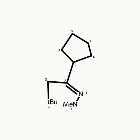 CNN=C(CC(C)(C)C)C1CCCC1